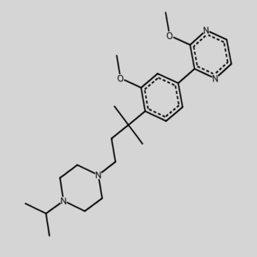 COc1cc(-c2nccnc2OC)ccc1C(C)(C)CCN1CCN(C(C)C)CC1